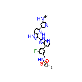 CC(C)Nc1cncc(-c2ccc3[nH]nc(-c4nc5c(-c6cc(F)cc(CNS(C)(=O)=O)c6)ccnc5[nH]4)c3n2)c1